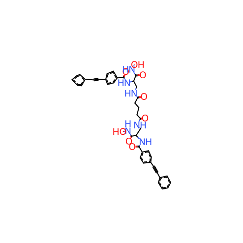 O=C(CCCC(=O)NCC(NC(=O)c1ccc(C#Cc2ccccc2)cc1)C(=O)NO)NCC(NC(=O)c1ccc(C#Cc2ccccc2)cc1)C(=O)NO